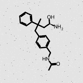 CC(=O)NCc1ccc(CC(C)(C[C@H](N)O)c2ccccc2)cc1